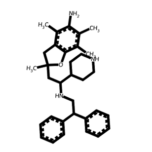 Cc1c(C)c2c(c(C)c1N)CC(C)(CC(NCC(c1ccccc1)c1ccccc1)C1CCNCC1)O2